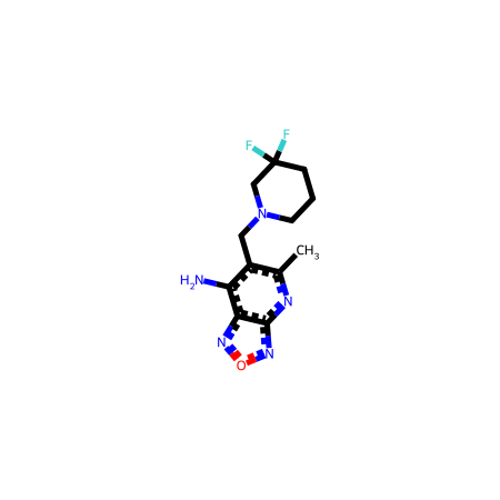 Cc1nc2nonc2c(N)c1CN1CCCC(F)(F)C1